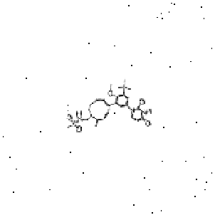 C=C1/C=C\C(c2cc(-n3ccc(=O)[nH]c3=O)cc(C(C)(C)C)c2OC)=C/CCC[C@@H]1CNS(C)(=O)=O